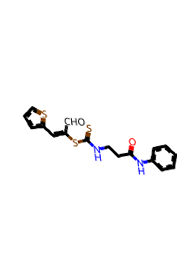 Cc1ccc(NC(=O)CCNC(=S)S/C(C=O)=C/c2cccs2)cc1